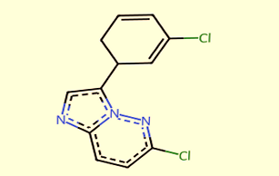 ClC1=CC(c2cnc3ccc(Cl)nn23)CC=C1